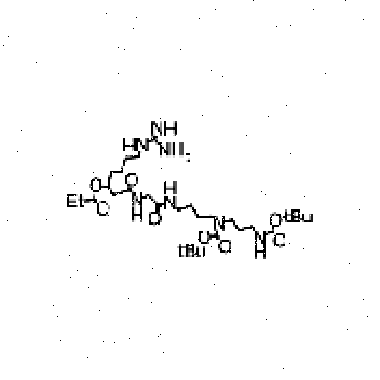 CCC(=O)OC(CCCCNC(=N)N)CC(=O)NCC(=O)NCCCCN(CCCNC(=O)OC(C)(C)C)C(=O)OC(C)(C)C